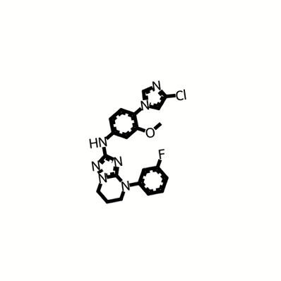 COc1cc(Nc2nc3n(n2)CCCN3c2cccc(F)c2)ccc1-n1cnc(Cl)c1